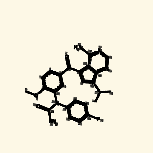 COc1ccc(C(=O)c2cn(C(C)C)c3ncnc(N)c23)cc1N(C(N)=O)c1ccc(F)cc1